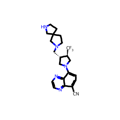 N#Cc1ccc(N2C[C@H](CN3CCC4(CCNC4)C3)[C@@H](C(F)(F)F)C2)c2nccnc12